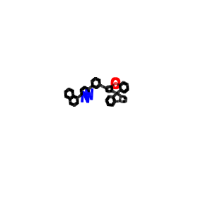 C1=CC2c3ccccc3C3(c4ccccc4Oc4cc(-c5cccc(-c6ccc(-c7cccc8ccccc78)nn6)c5)ccc43)C2C=C1